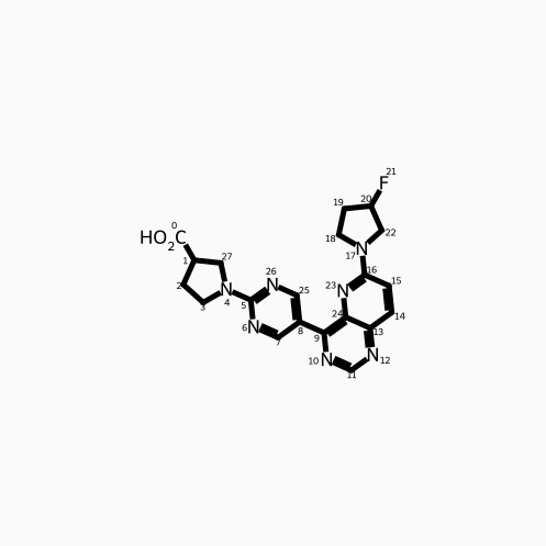 O=C(O)C1CCN(c2ncc(-c3ncnc4ccc(N5CCC(F)C5)nc34)cn2)C1